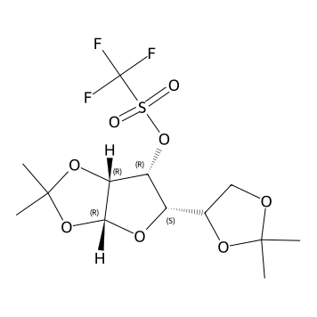 CC1(C)OCC([C@@H]2O[C@@H]3OC(C)(C)O[C@@H]3[C@@H]2OS(=O)(=O)C(F)(F)F)O1